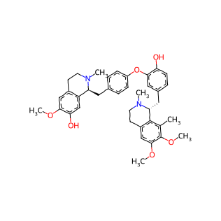 COc1cc2c(cc1O)[C@H](Cc1ccc(Oc3cc(C[C@@H]4c5c(cc(OC)c(OC)c5C)CCN4C)ccc3O)cc1)N(C)CC2